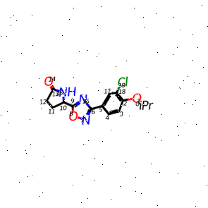 CC(C)Oc1ccc(-c2noc(C3CCC(=O)N3)n2)cc1Cl